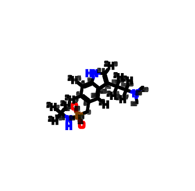 [2H]c1[nH]c2c([2H])c([2H])c(CS(=O)(=O)NC([2H])([2H])[2H])c([2H])c2c1C([2H])([2H])C([2H])([2H])N(C)C